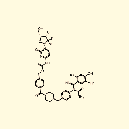 CC(C)c1cc(C(=N)N(C(N)=O)c2ccc(CN3CCN(C(=O)c4ccc(COC(=O)Nc5ccn([C@@H]6O[C@H](CO)[C@H](O)C6(F)F)c(=O)n5)cc4)CC3)cc2)c(O)cc1O